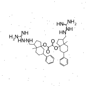 CC12CCC(c3ccccc3)CC1(OC(=O)C(=O)OC13CCC(CNNC(=N)N)C1(C)CCC(c1ccccc1)C3)CCC2CNNC(=N)N